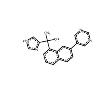 CC(O)(c1c[nH]cn1)c1cccc2ccc(-c3cncnc3)cc12